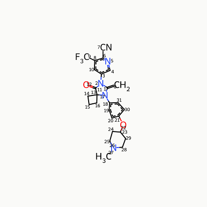 C=C1N(c2cnc(C#N)c(C(F)(F)F)c2)C(=O)C2(CCC2)N1c1ccc(OC2CCN(C)CC2)cc1